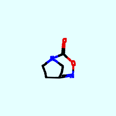 O=C1ON=C2CCN1C2